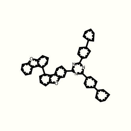 c1ccc(-c2ccc(-c3nc(-c4ccc(-c5ccccc5)cc4)nc(-c4ccc5c(c4)oc4cccc(-c6cccc7oc8ccccc8c67)c45)n3)cc2)cc1